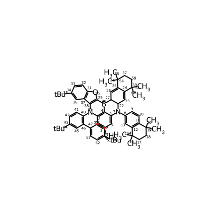 Cc1cc2c3c(c1)N(c1ccc4c(c1)C(C)(C)CCC4(C)C)C1C=C4C(=CC1B3c1oc3ccc(C(C)(C)C)cc3c1N2c1ccc(C(C)(C)C)cc1-c1ccc(C(C)(C)C)cc1)C(C)(C)CCC4(C)C